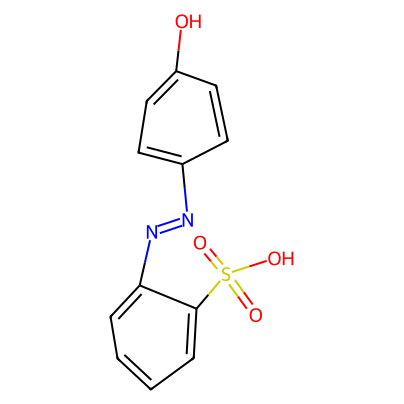 O=S(=O)(O)c1ccccc1/N=N/c1ccc(O)cc1